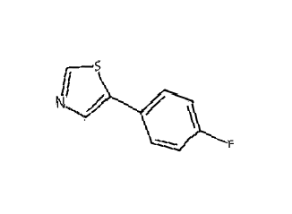 Fc1ccc(-c2[c]ncs2)cc1